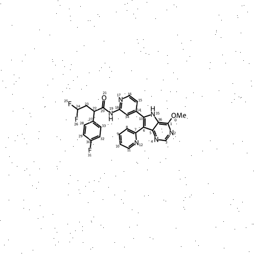 COc1ncnc2c(-c3ccccn3)c(-c3ccnc(NC(=O)C(CC(F)F)c4ccc(F)cc4)c3)[nH]c12